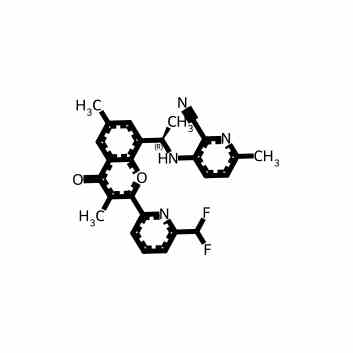 Cc1cc([C@@H](C)Nc2ccc(C)nc2C#N)c2oc(-c3cccc(C(F)F)n3)c(C)c(=O)c2c1